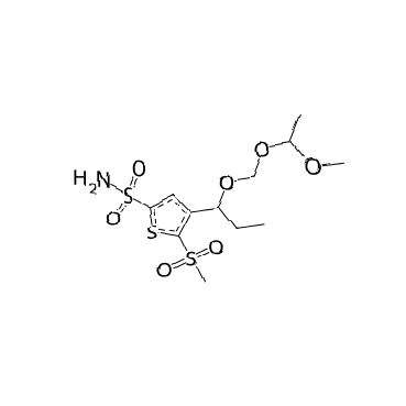 CCC(OCOC(C)OC)c1cc(S(N)(=O)=O)sc1S(C)(=O)=O